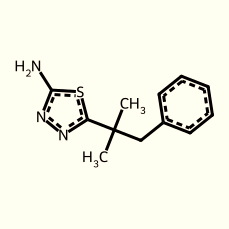 CC(C)(Cc1ccccc1)c1nnc(N)s1